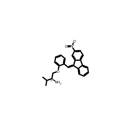 CC(C)[C@H](N)COc1ccccc1C=C1c2ccccc2-c2ccc([N+](=O)[O-])cc21